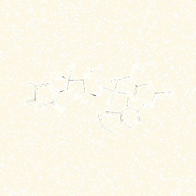 CC(C)OC(=O)[C@@H](C)NP(=O)(OC[C@H]1O[C@@H](n2cc(I)c(=O)[nH]c2=O)[C@](C)(Cl)[C@@H]1O)Oc1cccc2ccccc12